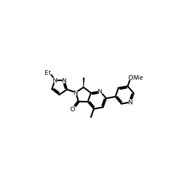 CCn1ccc(N2C(=O)c3c(C)cc(-c4cncc(OC)c4)nc3[C@@H]2C)n1